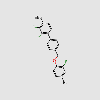 CCCCc1ccc(-c2ccc(COc3ccc(CC)cc3F)cc2)c(F)c1F